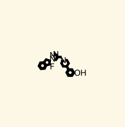 Oc1cccc(C2CCN(Cc3cn([C@@H]4Cc5ccccc5[C@@H]4F)nn3)CC2)c1